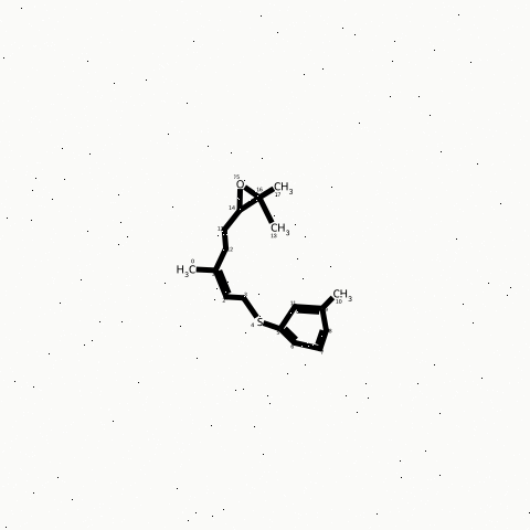 CC(=CCSc1cccc(C)c1)CCC1OC1(C)C